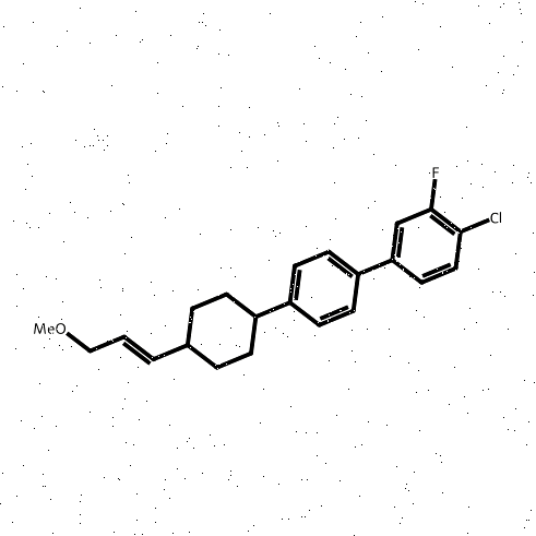 COCC=CC1CCC(c2ccc(-c3ccc(Cl)c(F)c3)cc2)CC1